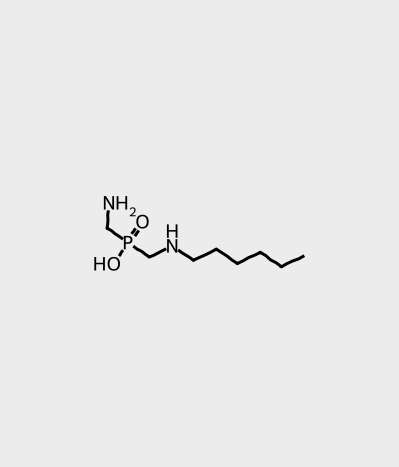 CCCCCCNCP(=O)(O)CN